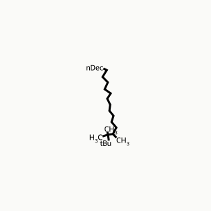 CCCCCCCCCCCCCCCCCCCCCC(C)C(C)(C)C(C)(C)C